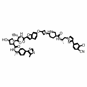 Cc1ncsc1-c1ccc([C@H](C)NC(=O)C2C[C@@H](O)CN2C(=O)[C@@H](NC(=O)c2cc3ccc(OC4CN(C5CCC(C(=O)N[C@@H](C)Cn6ccc(-c7ccc(C#N)c(Cl)c7)n6)CN5)C4)cc3o2)C(C)(C)C)cc1